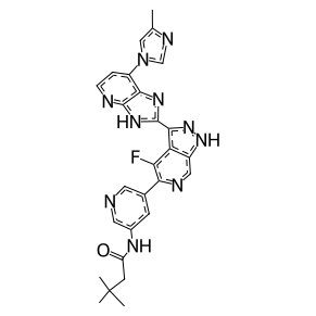 Cc1cn(-c2ccnc3[nH]c(-c4n[nH]c5cnc(-c6cncc(NC(=O)CC(C)(C)C)c6)c(F)c45)nc23)cn1